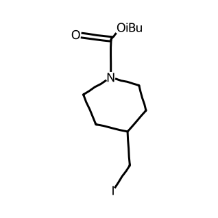 CC(C)COC(=O)N1CCC(CI)CC1